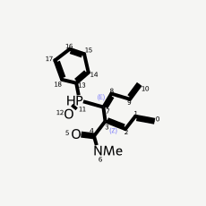 C=C/C=C(C(=O)NC)\C(=C/C=C)[PH](=O)c1ccccc1